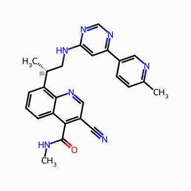 CNC(=O)c1c(C#N)cnc2c([C@H](C)CNc3cc(-c4ccc(C)nc4)ncn3)cccc12